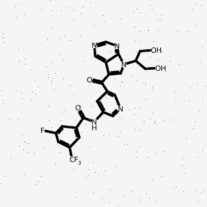 O=C(Nc1cncc(C(=O)c2cn(C(CO)CO)c3ncncc23)c1)c1cc(F)cc(C(F)(F)F)c1